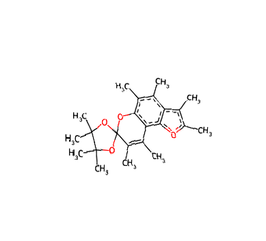 CC1=C(C)C2(Oc3c(C)c(C)c4c(C)c(C)oc4c31)OC(C)(C)C(C)(C)O2